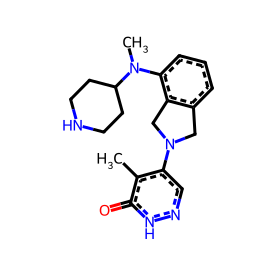 Cc1c(N2Cc3cccc(N(C)C4CCNCC4)c3C2)cn[nH]c1=O